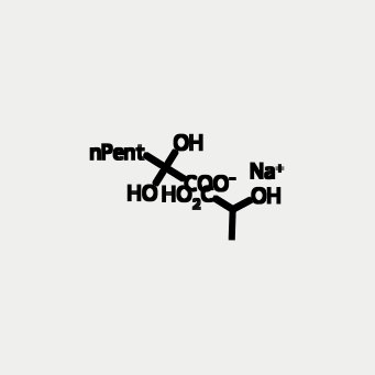 CC(O)C(=O)O.CCCCCC(O)(O)C(=O)[O-].[Na+]